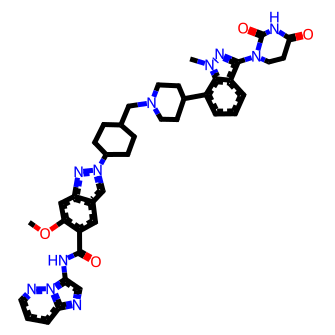 COc1cc2nn(C3CCC(CN4CCC(c5cccc6c(N7CCC(=O)NC7=O)nn(C)c56)CC4)CC3)cc2cc1C(=O)Nc1cnc2cccnn12